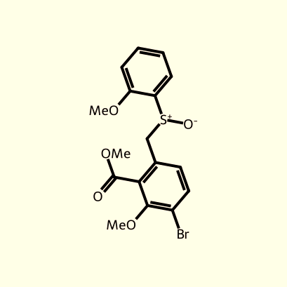 COC(=O)c1c(C[S+]([O-])c2ccccc2OC)ccc(Br)c1OC